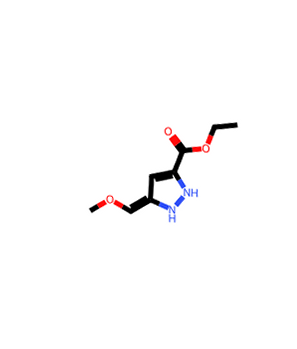 CCOC(=O)C1=CC(=COC)NN1